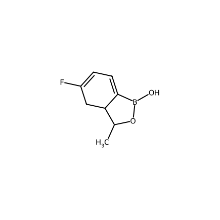 CC1OB(O)C2=CC=C(F)CC21